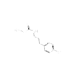 CCc1ccc(CCCNC(=O)OC(C)(C)C)cc1